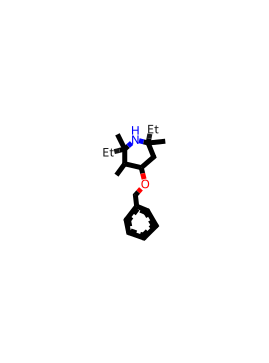 CCC1(C)CC(OCc2ccccc2)C(C)C(C)(CC)N1